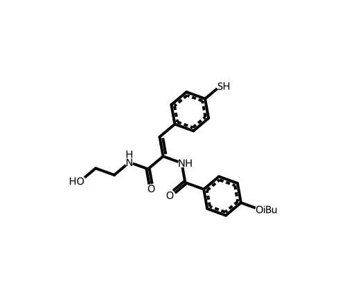 CC(C)COc1ccc(C(=O)N/C(=C\c2ccc(S)cc2)C(=O)NCCO)cc1